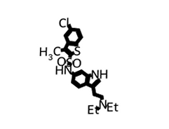 CCN(CC)CCc1c[nH]c2cc(NS(=O)(=O)c3sc4ccc(Cl)cc4c3C)ccc12